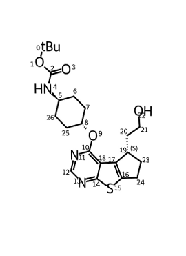 CC(C)(C)OC(=O)N[C@H]1CC[C@H](Oc2ncnc3sc4c(c23)[C@H](CCO)CC4)CC1